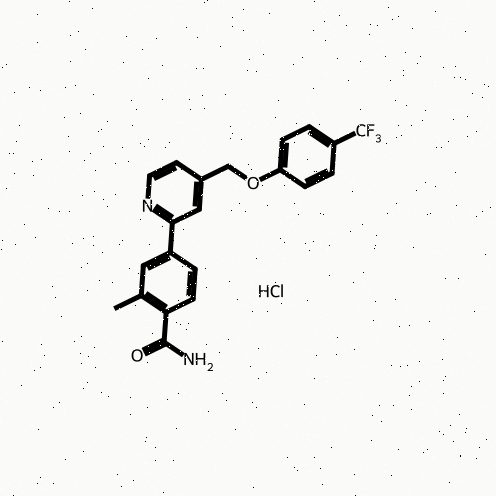 Cc1cc(-c2cc(COc3ccc(C(F)(F)F)cc3)ccn2)ccc1C(N)=O.Cl